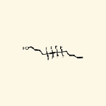 CCCCCC(F)(F)C(F)(F)C(F)(F)C(F)(F)CCCCO